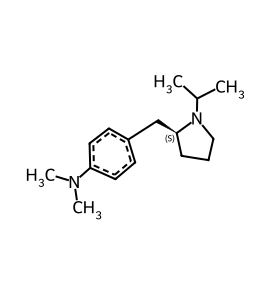 CC(C)N1CCC[C@H]1Cc1ccc(N(C)C)cc1